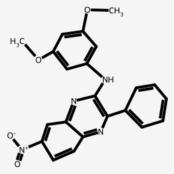 COc1cc(Nc2nc3cc([N+](=O)[O-])ccc3nc2-c2ccccc2)cc(OC)c1